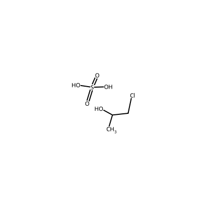 CC(O)CCl.O=S(=O)(O)O